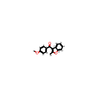 COc1ccc(C(=O)c2c(C)oc3ccccc23)cc1